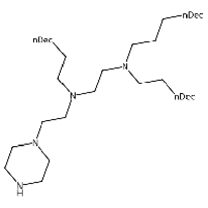 CCCCCCCCCCCCCN(CCCCCCCCCCCC)CCN(CCCCCCCCCCCC)CCN1CCNCC1